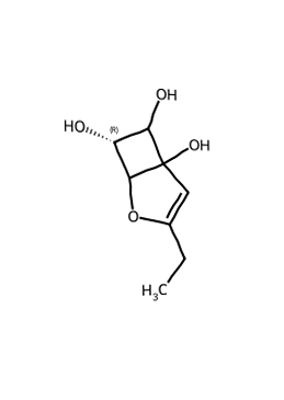 CCC1=CC2(O)C(O)[C@@H](O)C2O1